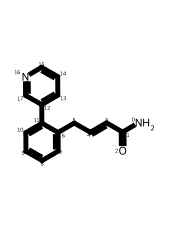 NC(=O)/C=C/Cc1ccccc1-c1cccnc1